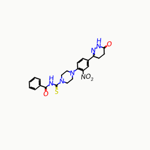 O=C1CCC(c2ccc(N3CCN(C(=S)NC(=O)c4ccccc4)CC3)c([N+](=O)[O-])c2)=NN1